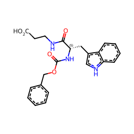 O=C(O)CCNC(=O)[C@H](Cc1c[nH]c2ccccc12)NC(=O)OCc1ccccc1